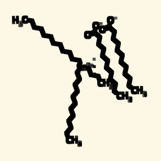 CCCCCCCCCCCC(=O)[O-].CCCCCCCCCCCC(=O)[O-].CCCCCCCCCCC[CH2][Sn+2]([CH2]CCC)[CH2]CCCCCCCCCCC